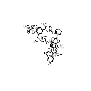 CC[N+](CC)(CC(=O)OCC(=O)[C@@]12O[C@H](C3CCCCC3)O[C@@H]1C[C@H]1[C@@H]3CCC4=CC(=O)C=C[C@]4(C)[C@H]3[C@@H](O)C[C@@]12C)Cc1cc(C(O)CNC(C)(C)C)ccc1OP(=O)(O)O